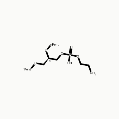 CCCCCOC[C@H](COP(=O)(O)OCCN)OCCCCC